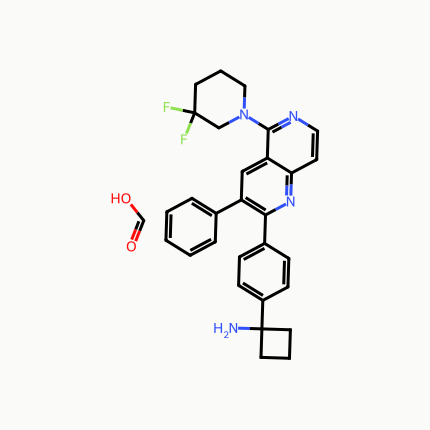 NC1(c2ccc(-c3nc4ccnc(N5CCCC(F)(F)C5)c4cc3-c3ccccc3)cc2)CCC1.O=CO